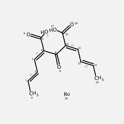 C/C=C/C=C(/C(=O)O)C(=O)/C(=C\C=C\C)C(=O)O.[Ru]